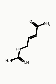 N=C(N)NC/C=C/C(N)=O